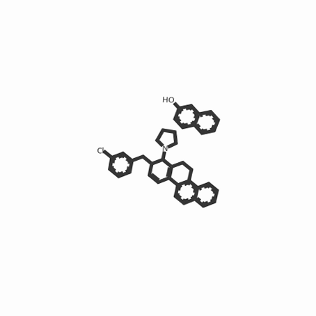 Clc1cccc(CC2C=CC3=C(CCc4c3ccc3ccccc43)C2N2CCCC2)c1.Oc1ccc2ccccc2c1